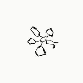 C=CC[Si]1(CC=C)C(c2ccccc2)=C(c2ccccc2)C(c2ccccc2)=C1c1ccccc1